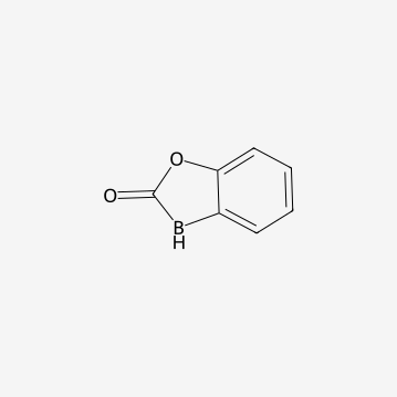 O=C1Bc2ccccc2O1